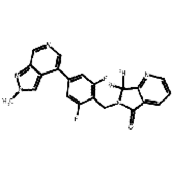 [2H]C1([2H])c2ncccc2C(=O)N1Cc1c(F)cc(-c2cncc3nn(C)cc23)cc1F